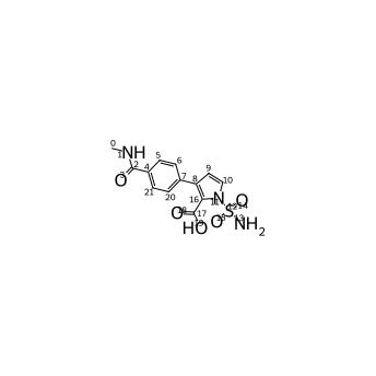 CNC(=O)c1ccc(-c2ccn(S(N)(=O)=O)c2C(=O)O)cc1